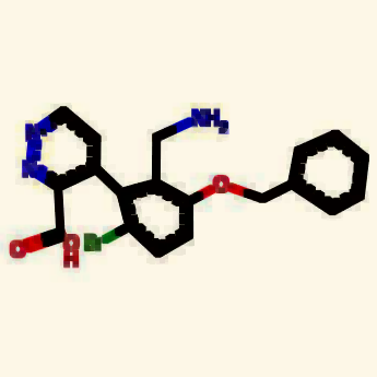 NCc1c(OCc2ccccc2)ccc(Br)c1-c1ccnnc1C(=O)O